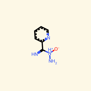 N=C(c1ccccn1)[NH+](N)[O-]